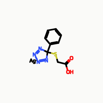 O=C(O)CSC1(c2ccccc2)N=NN=N1.[Ag]